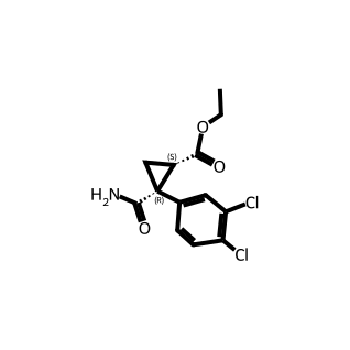 CCOC(=O)[C@H]1C[C@]1(C(N)=O)c1ccc(Cl)c(Cl)c1